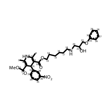 COC(=O)C1=C(C)NC(C)=C(C(=O)OCCCCCCNCC(O)COc2ccccc2)C1c1cccc([N+](=O)[O-])c1